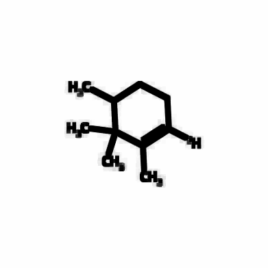 [2H]C1=C(C)C(C)(C)C(C)CC1